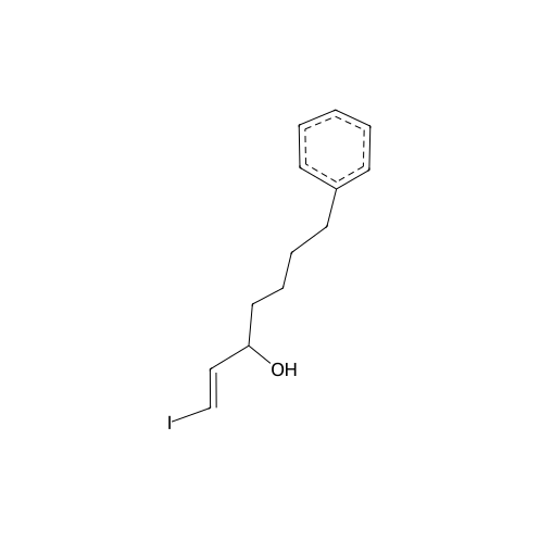 OC(C=CI)CCCCc1ccccc1